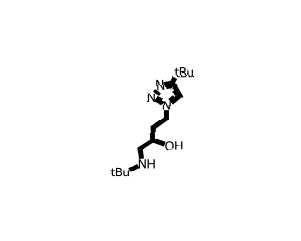 CC(C)(C)NCC(O)CCn1cc(C(C)(C)C)nn1